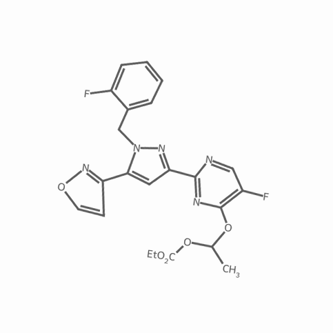 CCOC(=O)OC(C)Oc1nc(-c2cc(-c3ccon3)n(Cc3ccccc3F)n2)ncc1F